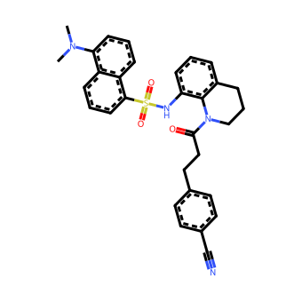 CN(C)c1cccc2c(S(=O)(=O)Nc3cccc4c3N(C(=O)CCc3ccc(C#N)cc3)CCC4)cccc12